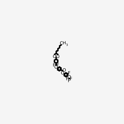 CCCCC/C=C/C1COC(C2CCC(C(F)(F)Oc3ccc(C(=O)Oc4ccc(OC(F)(F)F)c(F)c4)cc3)CC2)OC1